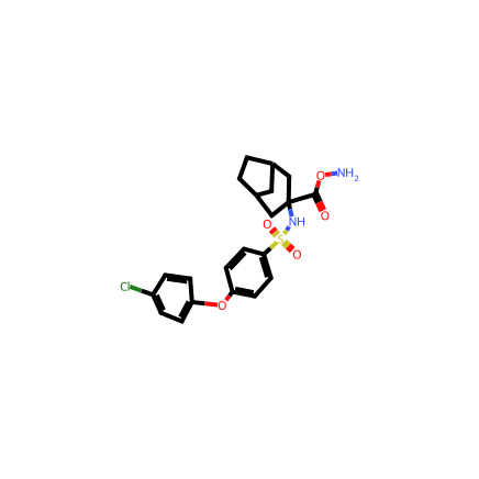 NOC(=O)C1(NS(=O)(=O)c2ccc(Oc3ccc(Cl)cc3)cc2)CC2CCC(C2)C1